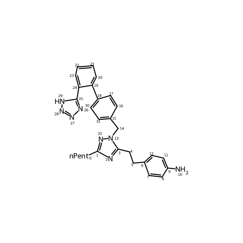 CCCCCc1nc(CCc2ccc(N)cc2)n(Cc2ccc(-c3ccccc3-c3nnn[nH]3)cc2)n1